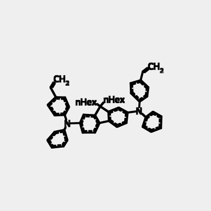 C=Cc1ccc(N(c2ccccc2)c2ccc3c(c2)C(CCCCCC)(CCCCCC)c2cc(N(c4ccccc4)c4ccc(C=C)cc4)ccc2-3)cc1